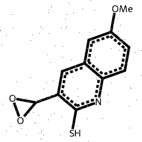 COc1ccc2nc(S)c(C3OO3)cc2c1